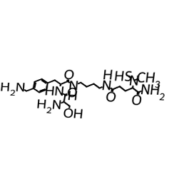 CN(S)C(CCC(=O)NCCCCNC(=O)C(Cc1ccc(CN)cc1)NC(=O)C(N)CO)C(N)=O